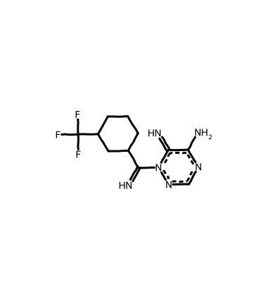 N=C(C1CCCC(C(F)(F)F)C1)n1ncnc(N)c1=N